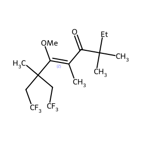 CCC(C)(C)C(=O)/C(C)=C(\OC)C(C)(CC(F)(F)F)CC(F)(F)F